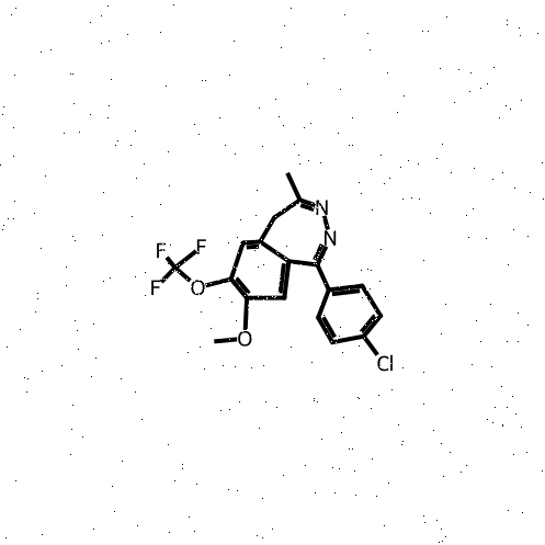 COc1cc2c(cc1OC(F)(F)F)CC(C)=NN=C2c1ccc(Cl)cc1